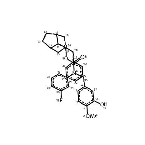 COc1ccc(CN(C(=O)OCC2C3CCC2CN(Cc2ccccc2)C3)c2cccc(F)c2)cc1O